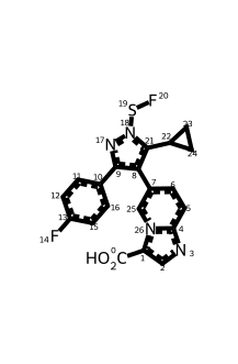 O=C(O)c1cnc2ccc(-c3c(-c4ccc(F)cc4)nn(SF)c3C3CC3)cn12